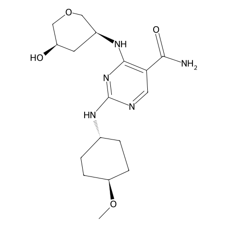 CO[C@H]1CC[C@H](Nc2ncc(C(N)=O)c(N[C@@H]3COC[C@H](O)C3)n2)CC1